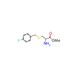 COC(=O)C(N)CSCc1ccc(F)cc1